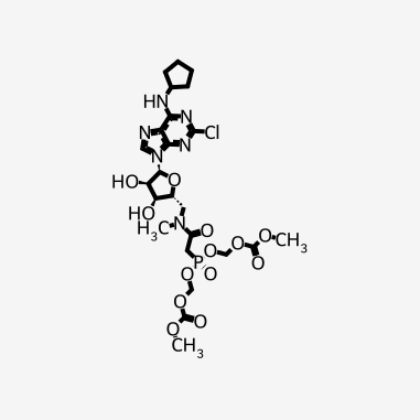 COC(=O)OCOP(=O)(CC(=O)N(C)C[C@H]1O[C@@H](n2cnc3c(NC4CCCC4)nc(Cl)nc32)[C@H](O)[C@@H]1O)OCOC(=O)OC